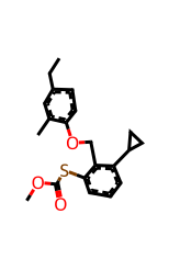 CCc1ccc(OCc2c(SC(=O)OC)cccc2C2CC2)c(C)c1